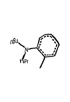 CCCCN(CCC)c1ccccc1C